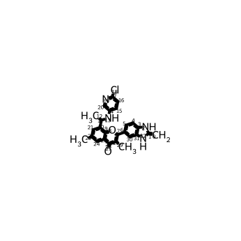 C=C1Nc2ccc(-c3oc4c(C(C)Nc5ccc(Cl)nc5)cc(C)cc4c(=O)c3C)cc2N1